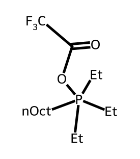 CCCCCCCCP(CC)(CC)(CC)OC(=O)C(F)(F)F